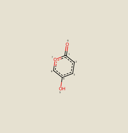 O=c1[c]cc(O)co1